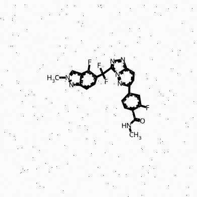 CNC(=O)c1ccc(-c2ccc3nnc(C(F)(F)c4ccc5nn(C)cc5c4F)n3n2)cc1F